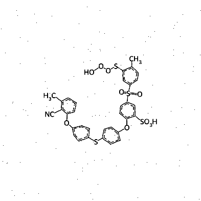 Cc1ccc(S(=O)(=O)c2ccc(Oc3ccc(Sc4ccc(Oc5cccc(C)c5C#N)cc4)cc3)c(S(=O)(=O)O)c2)cc1SOOO